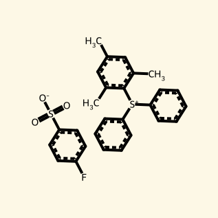 Cc1cc(C)c([S+](c2ccccc2)c2ccccc2)c(C)c1.O=S(=O)([O-])c1ccc(F)cc1